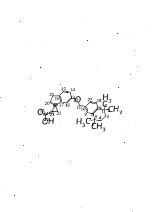 CC1(C)CCC(C)(C)c2cc(COc3ccc4c(c3)[C@]3(CC4)C[C@H]3C(=O)O)ccc21